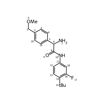 COCc1ccc(C(N)C(=O)Nc2ccc(C(C)(C)C)c(F)c2)cc1